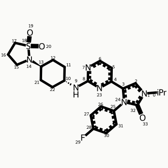 CC(C)n1cc(-c2ccnc(N[C@H]3CC[C@H](N4CCCS4(=O)=O)CC3)n2)n(-c2ccc(F)cc2)c1=O